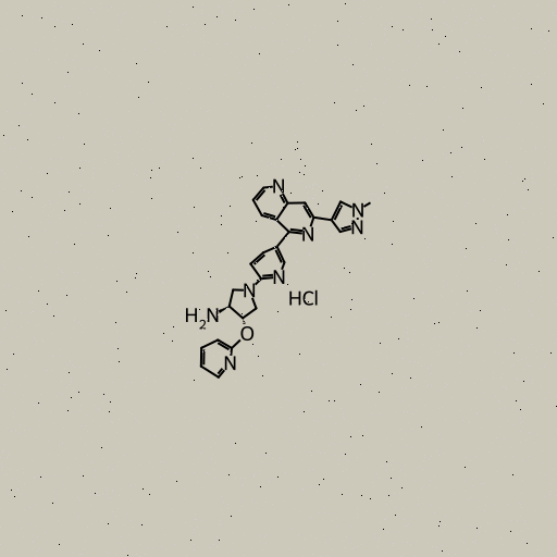 Cl.Cn1cc(-c2cc3ncccc3c(-c3ccc(N4C[C@H](Oc5ccccn5)[C@@H](N)C4)nc3)n2)cn1